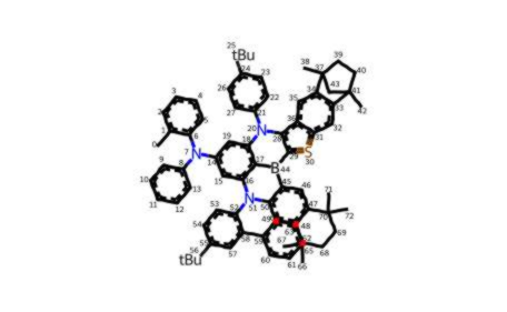 Cc1ccccc1N(c1ccccc1)c1cc2c3c(c1)N(c1ccc(C(C)(C)C)cc1)c1c(sc4cc5c(cc14)C1(C)CCC5(C)C1)B3c1cc3c(cc1N2c1ccc(C(C)(C)C)cc1-c1ccccc1)C(C)(C)CCC3(C)C